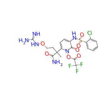 CC(CCONC(=N)N)(C(N)=O)c1ccc(NS(=O)(=O)c2ccccc2Cl)c(=O)n1OC(=O)C(F)(F)F